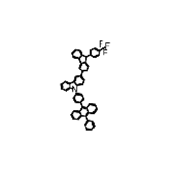 FC(F)(F)c1ccc(C2c3ccccc3-c3cc(-c4ccc5c(c4)c4ccccc4n5-c4ccc(-c5c6ccccc6c(-c6ccccc6)c6ccccc56)cc4)ccc32)cc1